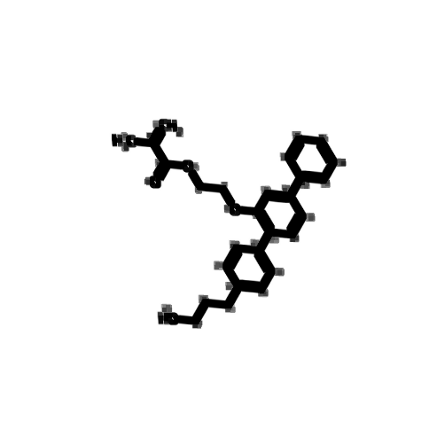 C=C(C)C(=O)OCCOc1cc(-c2ccccc2)ccc1-c1ccc(CCCO)cc1